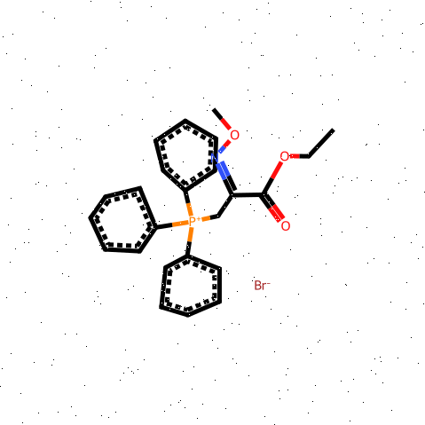 CCOC(=O)/C(C[P+](c1ccccc1)(c1ccccc1)c1ccccc1)=N\OC.[Br-]